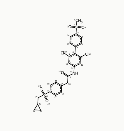 CS(=O)(=O)c1ccc(-c2c(Cl)cc(NC(=O)Cc3ccc(S(=O)(=O)CC4CC4)cc3)cc2Cl)cc1